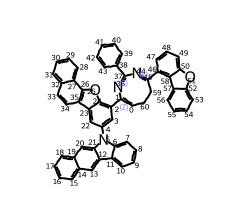 C1=C(c2cc(-n3c4ccccc4c4cc5ccccc5cc43)cc3c2oc2c4ccccc4ccc32)/N=C(c2ccccc2)\N=C(\c2cccc3oc4ccccc4c23)CC\1